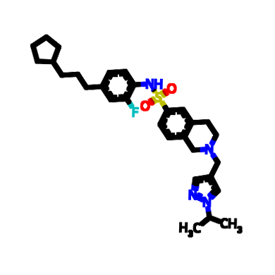 CC(C)n1cc(CN2CCc3cc(S(=O)(=O)Nc4ccc(CCCC5CCCC5)cc4F)ccc3C2)cn1